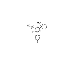 CC(C)(O)c1cc(C2(CN)CCCCO2)nc(-c2ccc(F)cc2)c1F